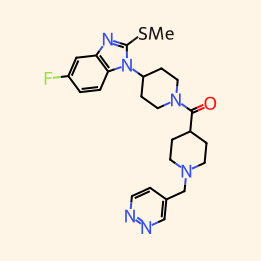 CSc1nc2cc(F)ccc2n1C1CCN(C(=O)C2CCN(Cc3ccnnc3)CC2)CC1